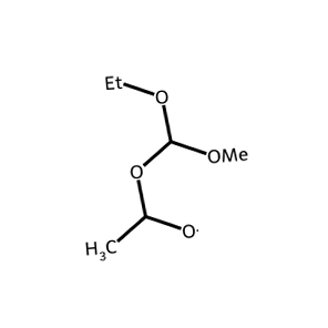 CCOC(OC)OC(C)[O]